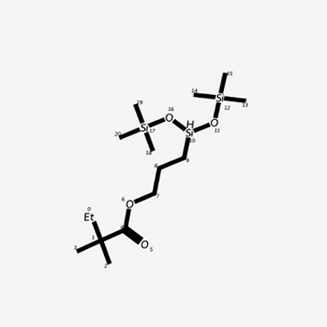 CCC(C)(C)C(=O)OCCC[SiH](O[Si](C)(C)C)O[Si](C)(C)C